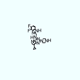 Fc1ccc2[nH]c(CNc3nc(N4CCNCC4)nc4c(C5CC5)cnn34)nc2c1F